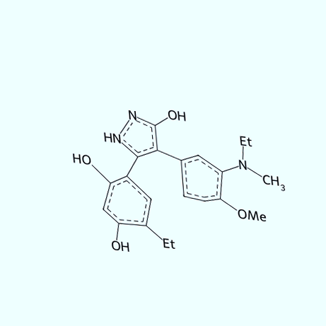 CCc1cc(-c2[nH]nc(O)c2-c2ccc(OC)c(N(C)CC)c2)c(O)cc1O